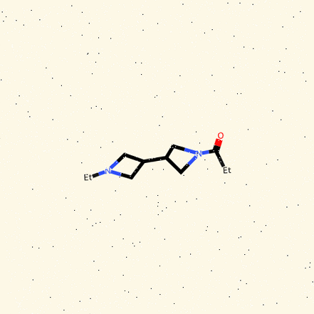 CCC(=O)N1CC(C2CN(CC)C2)C1